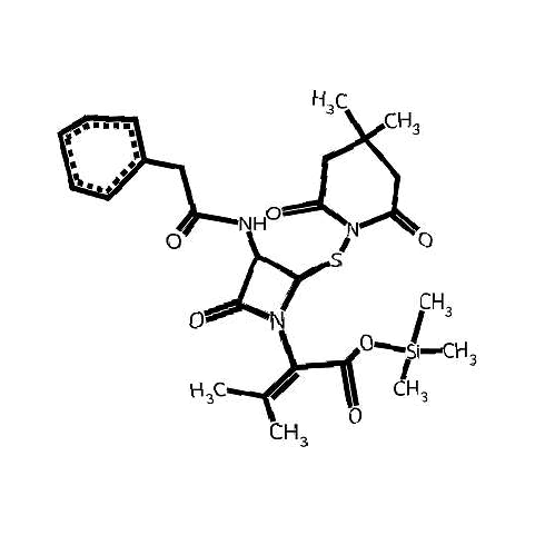 CC(C)=C(C(=O)O[Si](C)(C)C)N1C(=O)C(NC(=O)Cc2ccccc2)C1SN1C(=O)CC(C)(C)CC1=O